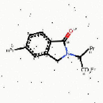 CCCc1ccc2c(c1)CN(C(C(=O)OCC)C(C)C)C2=O